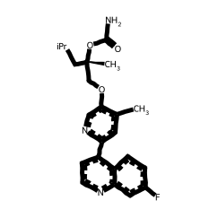 Cc1cc(-c2ccnc3cc(F)ccc23)ncc1OC[C@](C)(CC(C)C)OC(N)=O